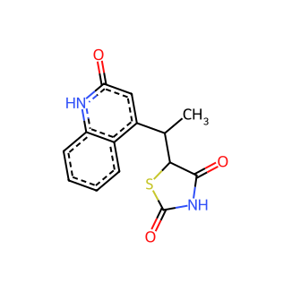 CC(c1cc(=O)[nH]c2ccccc12)C1SC(=O)NC1=O